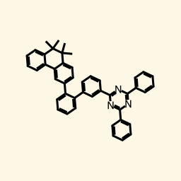 CC1(C)c2ccccc2-c2cc(-c3ccccc3-c3cccc(-c4nc(-c5ccccc5)nc(-c5ccccc5)n4)c3)ccc2C1(C)C